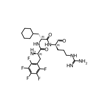 N=C(N)NCCC[C@H]([C]=O)NC(=O)[C@@H](CC1CCCCC1)NC(=O)[C@H](N)Cc1c(F)c(F)c(F)c(F)c1F